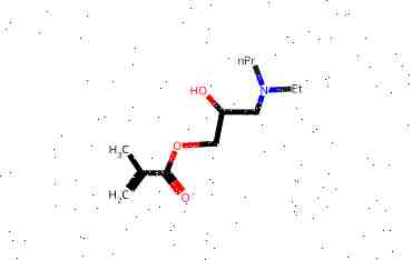 C=C(C)C(=O)OCC(O)CN(CC)CCC